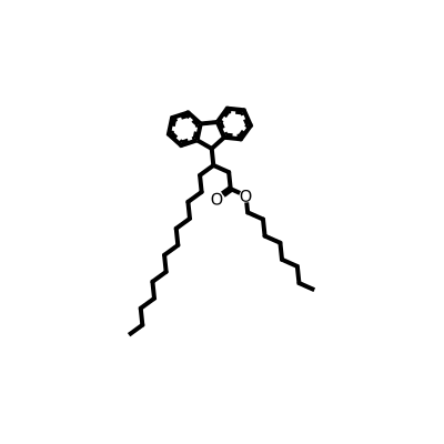 CCCCCCCCCCCCCC(CC(=O)OCCCCCCCC)C1c2ccccc2-c2ccccc21